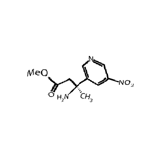 COC(=O)C[C@](C)(N)c1cncc([N+](=O)[O-])c1